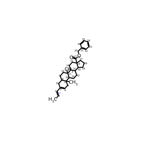 C/C=C/C1=CCC2(C)C(CCC3(C)C4CCC5(C(=O)OCc6ccccc6)CCCC5C4CCC23)C1